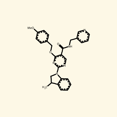 COc1ccc(COc2nc(N3CC(C)c4ccccc43)ncc2C(=O)NCc2cccnc2)cc1